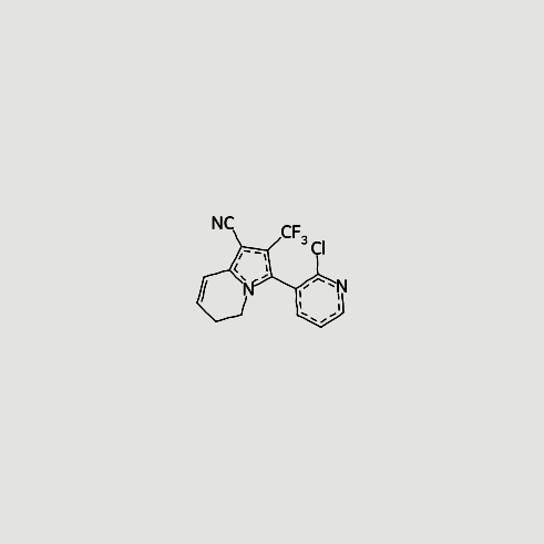 N#Cc1c(C(F)(F)F)c(-c2cccnc2Cl)n2c1C=CCC2